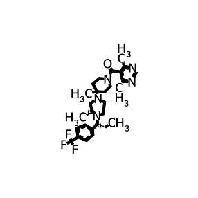 CC[C@H](c1ccc(C(F)(F)F)cc1)N1CCN(C2(C)CCN(C(=O)c3c(C)ncnc3C)CC2)C[C@@H]1C